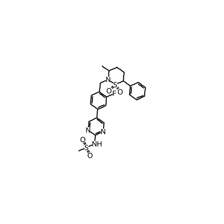 CC1CCC(c2ccccc2)S(=O)(=O)N1Cc1ccc(-c2cnc(NS(C)(=O)=O)nc2)cc1F